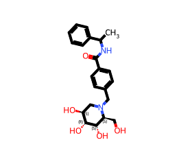 CC(NC(=O)c1ccc(CN2C[C@H](O)[C@@H](O)[C@@H](O)[C@@H]2CO)cc1)c1ccccc1